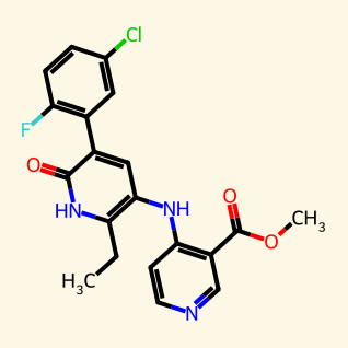 CCc1[nH]c(=O)c(-c2cc(Cl)ccc2F)cc1Nc1ccncc1C(=O)OC